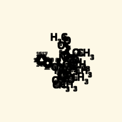 COC(=O)Cc1cn(CC(OC2Cc3ccccc3C2)C(O[Si](C)(C)C(C)(C)C)c2cc(OC)c(C)c(OC)c2)cc1C(=O)OC